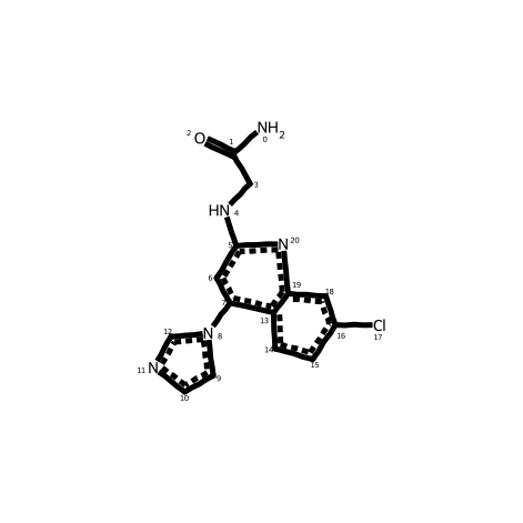 NC(=O)CNc1cc(-n2ccnc2)c2ccc(Cl)cc2n1